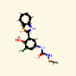 CC(C)SNC(=O)Nc1cc(Cl)c(O)c(-c2nc3ccccc3s2)c1